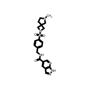 CN1CCC2(C1)CN(S(=O)(=O)c1ccc(CNC(=O)c3cnc4[nH]ncc4c3)cc1)C2